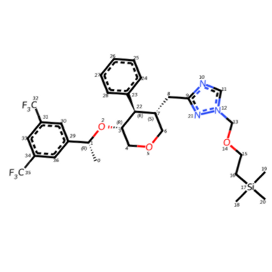 C[C@@H](O[C@H]1COC[C@@H](Cc2ncn(COCC[Si](C)(C)C)n2)[C@@H]1c1ccccc1)c1cc(C(F)(F)F)cc(C(F)(F)F)c1